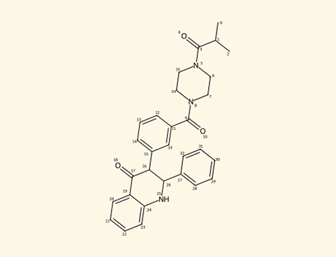 CC(C)C(=O)N1CCN(C(=O)c2cccc(C3C(=O)c4ccccc4NC3c3ccccc3)c2)CC1